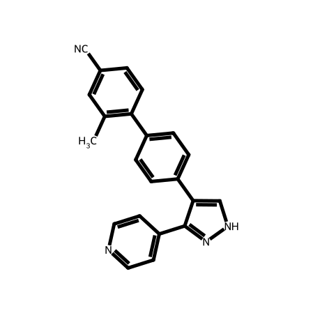 Cc1cc(C#N)ccc1-c1ccc(-c2c[nH]nc2-c2ccncc2)cc1